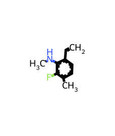 C=Cc1ccc(C)c(F)c1NC